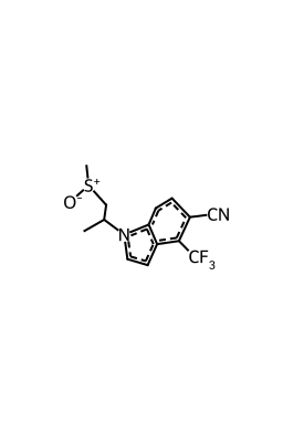 CC(C[S+](C)[O-])n1ccc2c(C(F)(F)F)c(C#N)ccc21